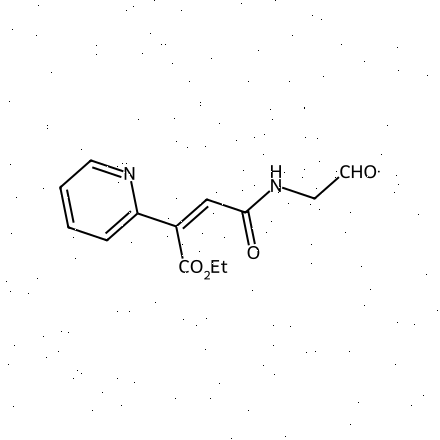 CCOC(=O)C(=CC(=O)NC[C]=O)c1ccccn1